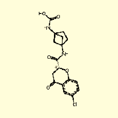 O=C(O)NC12CCC(NC(=O)[C@H]3CC(=O)c4cc(Cl)ccc4O3)(C1)C2